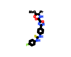 COC(=O)[C@@H](NC(=O)c1nc(-c2ccc(NC(=S)Nc3ccc(F)cc3)cc2)no1)C(C)C